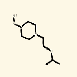 CC(C)OCCN1CCN(SS)CC1